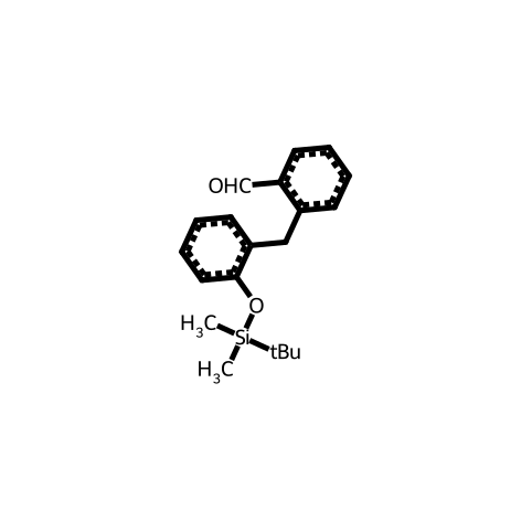 CC(C)(C)[Si](C)(C)Oc1ccccc1Cc1ccccc1C=O